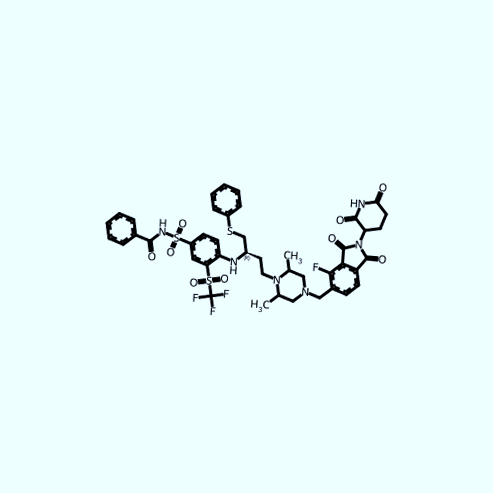 CC1CN(Cc2ccc3c(c2F)C(=O)N(C2CCC(=O)NC2=O)C3=O)CC(C)N1CC[C@H](CSc1ccccc1)Nc1ccc(S(=O)(=O)NC(=O)c2ccccc2)cc1S(=O)(=O)C(F)(F)F